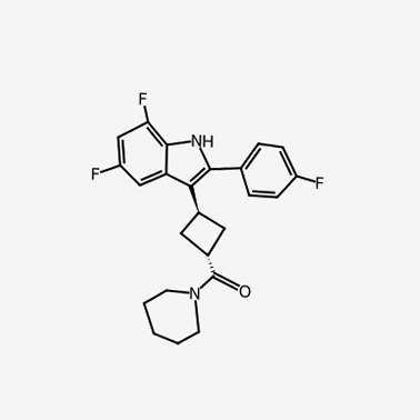 O=C([C@H]1C[C@H](c2c(-c3ccc(F)cc3)[nH]c3c(F)cc(F)cc32)C1)N1CCCCC1